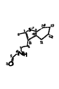 Cc1sc2c(c1CCNC=O)CCCC2